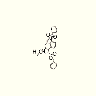 CN1CC(C(=O)OCc2ccccc2)C2c3cccc4c3c(cn4S(=O)(=O)c3ccccc3)CC21